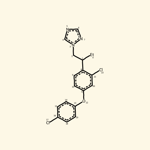 CCC(Cn1cncn1)c1ccc(Oc2ccc(Cl)cc2)cc1Cl